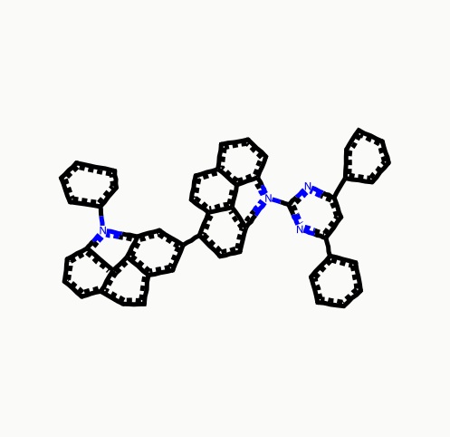 c1ccc(-c2cc(-c3ccccc3)nc(-n3c4cccc5ccc6c(-c7cc8ccc9cccc%10c9c8c(c7)n%10-c7ccccc7)ccc3c6c54)n2)cc1